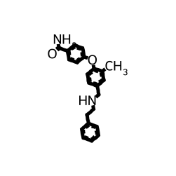 Cc1cc(CNCCc2ccccc2)ccc1Oc1ccc(C(N)=O)cc1